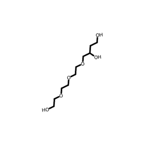 OCCOCCOCCOCC(O)CCO